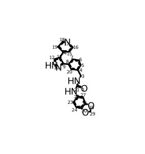 O=C(NCc1cccc(-c2n[nH]cc2-c2ccncc2)c1)Nc1ccc2c(c1)OCO2